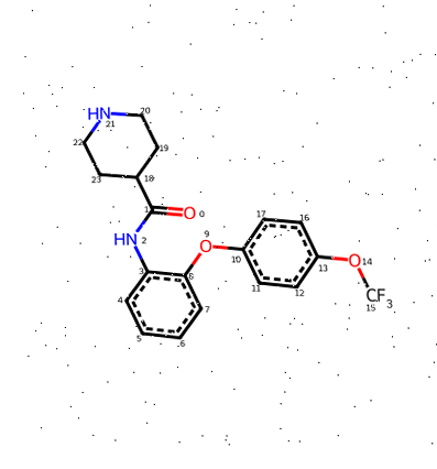 O=C(Nc1ccccc1Oc1ccc(OC(F)(F)F)cc1)C1CCNCC1